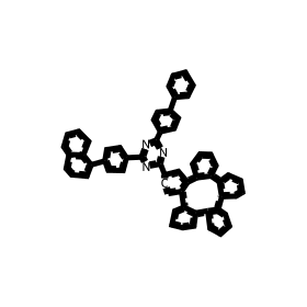 c1ccc(-c2ccc(-c3nc(-c4ccc(-c5cccc6ccccc56)cc4)nc(-c4ccc5c6ccccc6c6ccccc6c6ccccc6c6ccccc6c5c4)n3)cc2)cc1